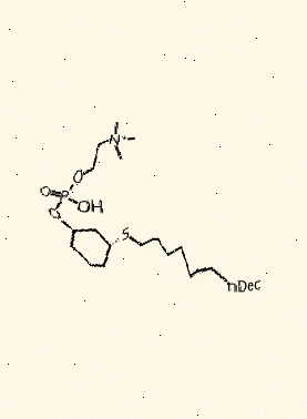 CCCCCCCCCCCCCCCCS[C@@H]1CCC[C@@H](OP(=O)(O)OCC[N+](C)(C)C)C1